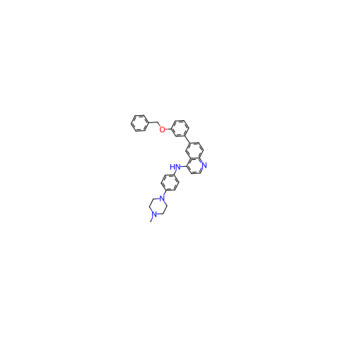 CN1CCN(c2ccc(Nc3ccnc4ccc(-c5cccc(OCc6ccccc6)c5)cc34)cc2)CC1